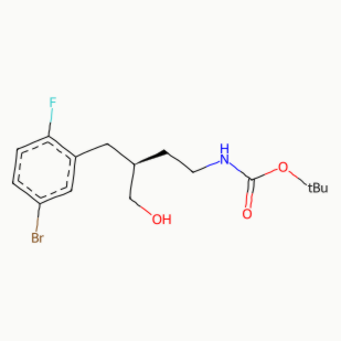 CC(C)(C)OC(=O)NCC[C@@H](CO)Cc1cc(Br)ccc1F